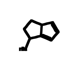 CCCCC1CCC2C=CC=C21